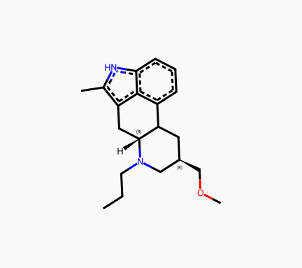 CCCN1C[C@H](COC)CC2c3cccc4[nH]c(C)c(c34)C[C@H]21